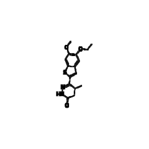 CCOc1cc2cc(C3=NNC(=O)CC3C)sc2cc1OC